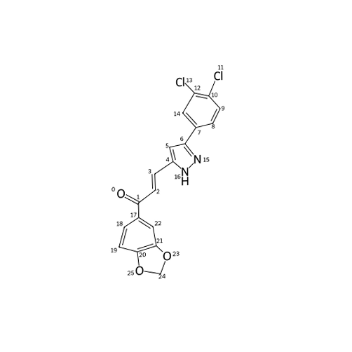 O=C(C=Cc1cc(-c2ccc(Cl)c(Cl)c2)n[nH]1)c1ccc2c(c1)OCO2